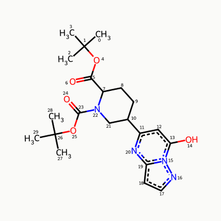 CC(C)(C)OC(=O)C1CCC(c2cc(O)n3nccc3n2)CN1C(=O)OC(C)(C)C